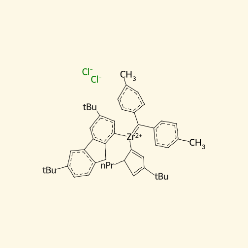 CCCC1C=C(C(C)(C)C)C=[C]1[Zr+2](=[C](c1ccc(C)cc1)c1ccc(C)cc1)[c]1cc(C(C)(C)C)cc2c1Cc1ccc(C(C)(C)C)cc1-2.[Cl-].[Cl-]